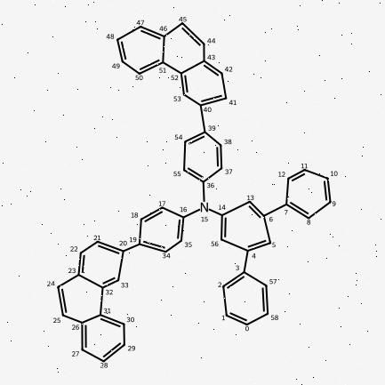 c1ccc(-c2cc(-c3ccccc3)cc(N(c3ccc(-c4ccc5ccc6ccccc6c5c4)cc3)c3ccc(-c4ccc5ccc6ccccc6c5c4)cc3)c2)cc1